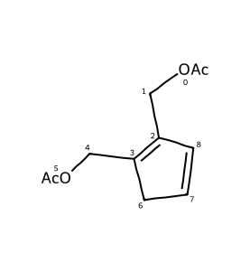 CC(=O)OCC1=C(COC(C)=O)CC=C1